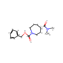 CC(=O)N(C)C(=O)[C@H]1CCCN(C(=O)OCc2ccccc2)CC1